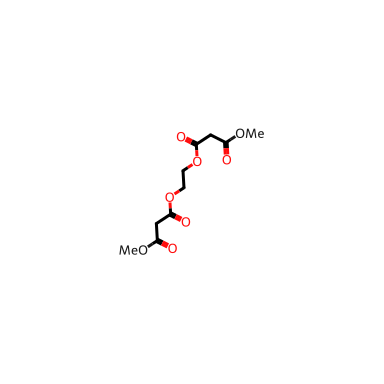 COC(=O)CC(=O)OCCOC(=O)CC(=O)OC